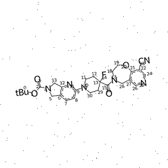 CC(C)(C)OC(=O)N1Cc2ccc(N3CCC(F)(C(=O)N4CCOc5c(C#N)cncc5C4)CC3)nc2C1